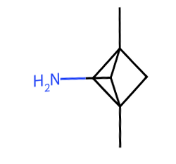 CC12CC(C)(C1)C2N